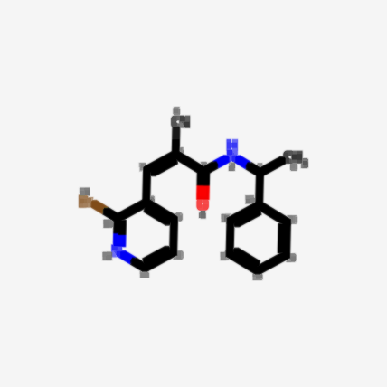 CC(NC(=O)C(C#N)=Cc1cccnc1Br)c1ccccc1